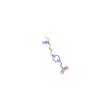 CSNSCCSN1CCN(CC[N+](=O)[O-])CC1